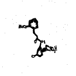 COc1ccccc1CCC(=O)Nc1cc(Cl)ccc1C(=O)O